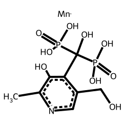 Cc1ncc(CO)c(C(O)(P(=O)(O)O)P(=O)(O)O)c1O.[Mn]